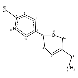 CCC1=CCC(c2ccc(Cl)nc2)OC1